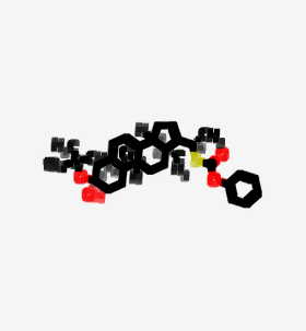 C[C@H](SC(=O)Oc1ccccc1)C1=CC[C@H]2C3=CC=C4C[C@](O)(O[Si](C)(C)C(C)(C)C)CC[C@]4(C)[C@H]3CC[C@]12C